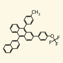 Cc1ccc(-c2c3ccccc3c(-c3ccc4ccccc4c3)c3ccc(-c4ccc(OC(F)(F)F)cc4)cc23)cc1